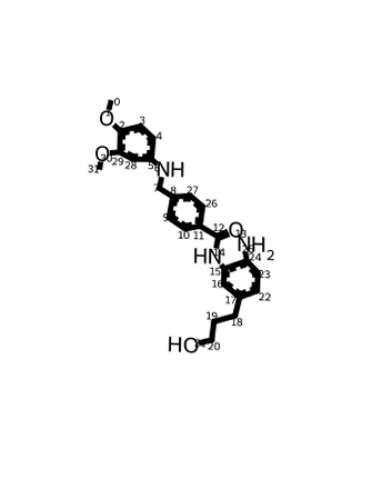 COc1ccc(NCc2ccc(C(=O)Nc3cc(CCCO)ccc3N)cc2)cc1OC